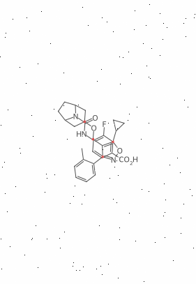 Cc1ccccc1-c1noc(C2CC2)c1COC1CC2CCC(C1)N2C(=O)Nc1ccc(C(=O)O)cc1F